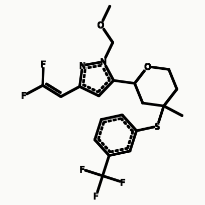 COCn1nc(C=C(F)F)cc1C1CC(C)(Sc2cccc(C(F)(F)F)c2)CCO1